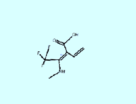 C=C/C(C(=O)O)=C(\NC)C(F)(F)F